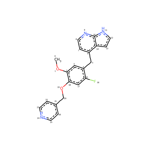 COc1cc(Cc2ccnc3[nH]ccc23)c(F)cc1OCc1ccncc1